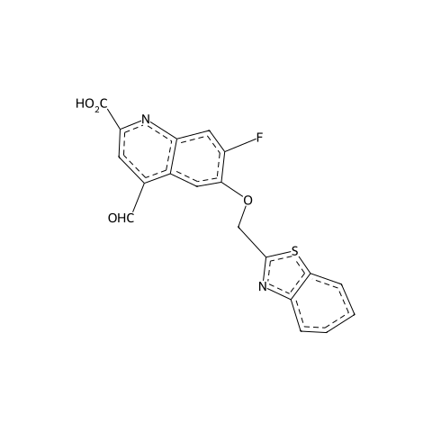 O=Cc1cc(C(=O)O)nc2cc(F)c(OCc3nc4ccccc4s3)cc12